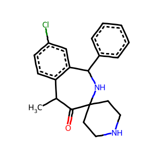 CC1C(=O)C2(CCNCC2)NC(c2ccccc2)c2cc(Cl)ccc21